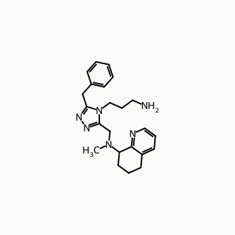 CN(Cc1nnc(Cc2ccccc2)n1CCCN)C1CCCc2cccnc21